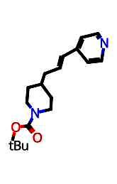 CC(C)(C)OC(=O)N1CCC(C/C=C/c2ccncc2)CC1